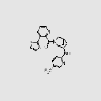 O=C(c1ncccc1-c1nccs1)N1CC2CC(Nc3ccc(C(F)(F)F)cn3)C1C2